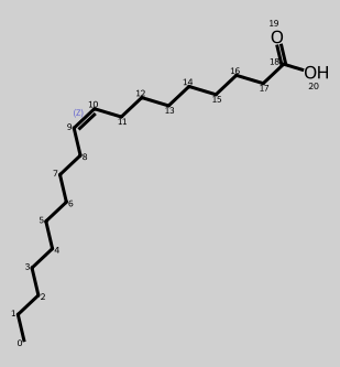 CCCCCCCCC/C=C\CCCCCCCC(=O)O